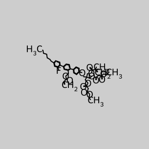 C=CC(=O)OCc1cc(-c2ccc(CCCCCCC)cc2F)ccc1-c1ccc(OCC(COC(=O)CC(=O)OCC)(COC(=O)CC(=O)OCC)COC(=O)C(=C)C)cc1